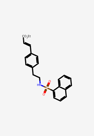 CCOC(=O)/C=C/c1ccc(CCNS(=O)(=O)c2cccc3ccccc23)cc1